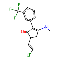 CNC1=C(c2cccc(C(F)(F)F)c2)C(=O)C(C=CCl)C1